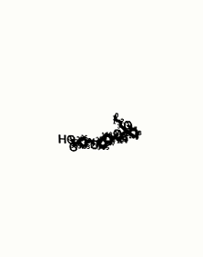 CCCCc1oc2ccccc2c1-c1ncc(-c2ccc3cc(OCc4ccc(C(=O)O)cc4)ccc3c2)o1